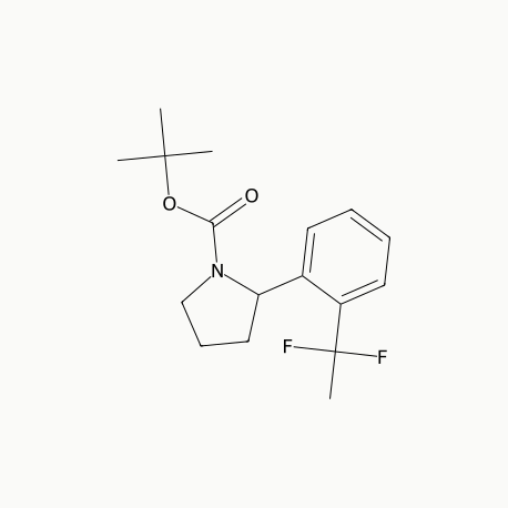 CC(C)(C)OC(=O)N1CCCC1c1ccccc1C(C)(F)F